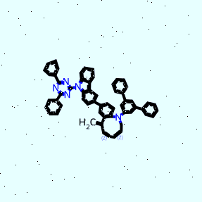 C=C1/C=C\C=C/CN(c2cc(-c3ccccc3)cc(-c3ccccc3)c2)c2ccc(-c3ccc4c(c3)c3ccccc3n4-c3nc(-c4ccccc4)nc(-c4ccccc4)n3)cc21